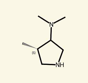 C[C@H]1CNCC1N(C)C